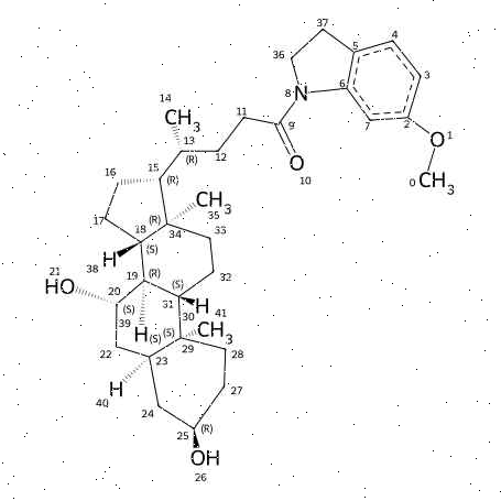 COc1ccc2c(c1)N(C(=O)CC[C@@H](C)[C@H]1CC[C@H]3[C@@H]4[C@@H](O)C[C@@H]5C[C@H](O)CC[C@]5(C)[C@H]4CC[C@]13C)CC2